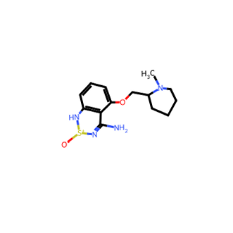 CN1CCCCC1COc1cccc2c1C(N)=N[S+]([O-])N2